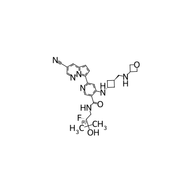 CC(C)(O)[C@H](F)CNC(=O)c1cnc(-c2ccc3cc(C#N)cnn23)cc1N[C@H]1C[C@H](CNC2COC2)C1